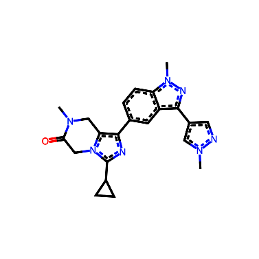 CN1Cc2c(-c3ccc4c(c3)c(-c3cnn(C)c3)nn4C)nc(C3CC3)n2CC1=O